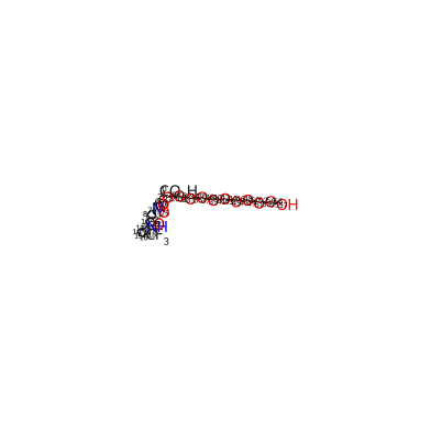 O=C(O)C(C[C@H]1CN(c2ccc3cc(-c4ccccc4C(F)(F)F)[nH]c(=O)c3c2)C(=O)O1)OCCOCCOCCOCCOCCOCCOCCOCCOCCOCCO